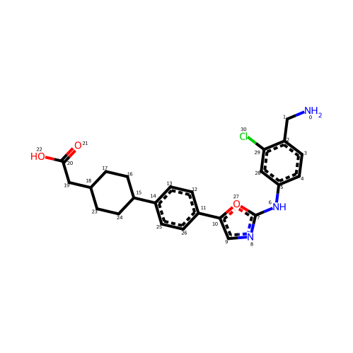 NCc1ccc(Nc2ncc(-c3ccc(C4CCC(CC(=O)O)CC4)cc3)o2)cc1Cl